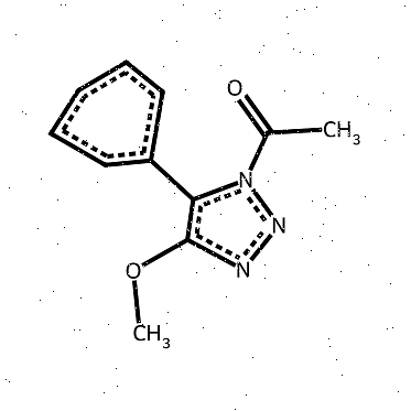 COc1nnn(C(C)=O)c1-c1ccccc1